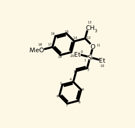 CC[Si](C=Cc1ccccc1)(CC)OC(C)c1ccc(OC)cc1